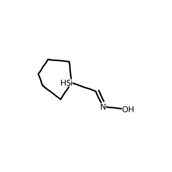 ON=C[SiH]1CCCCC1